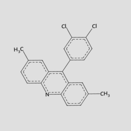 Cc1ccc2nc3ccc(C)cc3c(-c3ccc(Cl)c(Cl)c3)c2c1